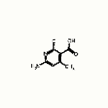 Cc1cc(N)nc(Cl)c1C(=O)O